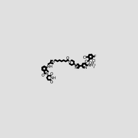 CC(Oc1cc(-c2cnn(C3CCN(C(=O)CCCCCCN4CC(CNc5cccc6c5CN(C5CCC(=O)NC5=O)C6=O)C4)CC3)c2)cnc1N)c1c(Cl)ccc(F)c1Cl